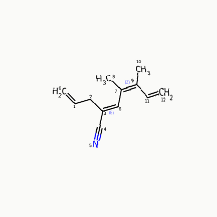 C=CC/C(C#N)=C\C(C)=C(\C)C=C